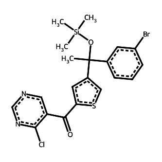 CC(O[Si](C)(C)C)(c1cccc(Br)c1)c1csc(C(=O)c2cncnc2Cl)c1